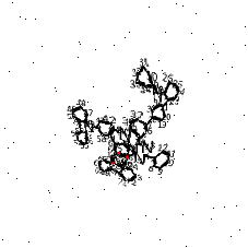 c1ccc(-c2nc(-c3ccccc3)nc(-c3cc(-c4ccc5c6ccccc6n(-c6ccccc6)c5c4)ccc3-n3c4ccc(-n5c6ccccc6c6ccccc65)cc4c4cc(-n5c6ccccc6c6ccccc65)ccc43)n2)cc1